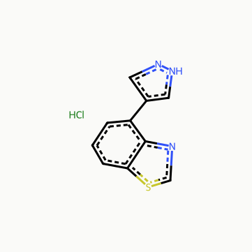 Cl.c1cc(-c2cn[nH]c2)c2ncsc2c1